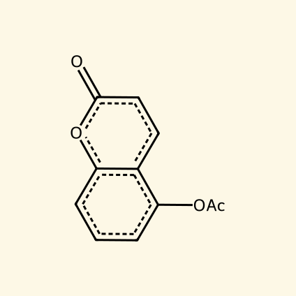 CC(=O)Oc1cccc2oc(=O)ccc12